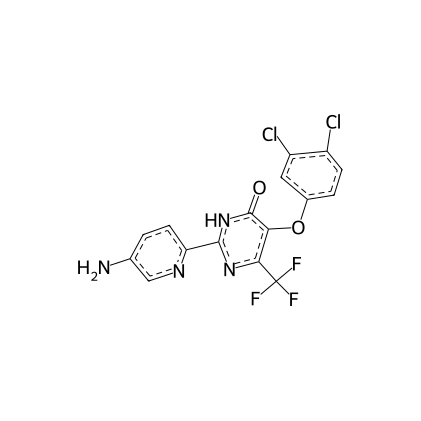 Nc1ccc(-c2nc(C(F)(F)F)c(Oc3ccc(Cl)c(Cl)c3)c(=O)[nH]2)nc1